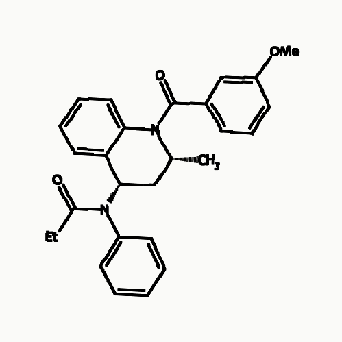 CCC(=O)N(c1ccccc1)[C@H]1C[C@@H](C)N(C(=O)c2cccc(OC)c2)c2ccccc21